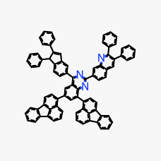 C1=C(c2ccccc2)C(c2ccccc2)c2ccc(-c3nc(-c4ccc5cc(-c6ccccc6)c(-c6ccccc6)nc5c4)nc4c(-c5ccc6c7c(cccc57)-c5ccccc5-6)cc(-c5ccc6c7c(cccc57)-c5ccccc5-6)cc34)cc21